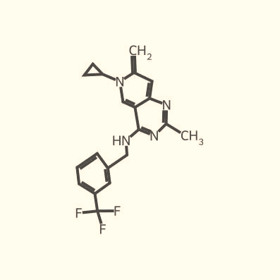 C=C1C=c2nc(C)nc(NCc3cccc(C(F)(F)F)c3)c2=CN1C1CC1